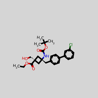 CCOC(=O)[C@]1(CO)C[C@@](Cc2ccc(-c3cccc(Cl)c3)cc2)(NC(=O)OC(C)(C)C)C1